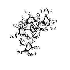 O=P(O[C@H]1O[C@H](CO)[C@H](O)[C@H](O)[C@@H]1O)(O[C@H]1O[C@H](CO)[C@H](O)[C@H](O)[C@@H]1O)OP(=O)(O[C@H]1O[C@H](CO)[C@H](O)[C@H](O)[C@@H]1O)O[C@H]1O[C@H](CO)[C@H](O)[C@H](O)[C@@H]1O